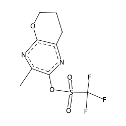 Cc1nc2c(nc1OS(=O)(=O)C(F)(F)F)CCCO2